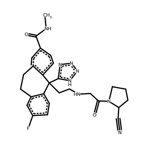 CNC(=O)c1ccc2c(c1)CCc1cc(F)ccc1C2(CCNCC(=O)N1CCCC1C#N)c1nnn[nH]1